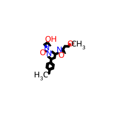 CCc1ccc(C2CC(c3nc(CCOC)co3)CN(C(=O)N3CC(O)C3)C2)cc1